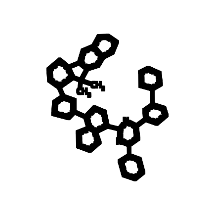 CC1(C)c2cc3ccccc3cc2-c2cccc(-c3cccc(-c4ccc(-c5nc(-c6ccccc6)cc(-c6cccc(-c7ccccc7)c6)n5)c5ccccc45)c3)c21